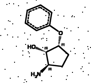 N[C@@H]1CC[C@@H](Oc2ccccc2)[C@H]1O